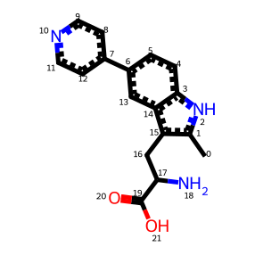 Cc1[nH]c2ccc(-c3ccncc3)cc2c1CC(N)C(=O)O